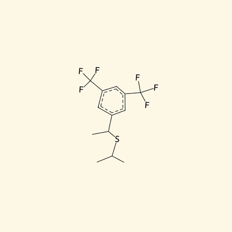 CC(C)SC(C)c1cc(C(F)(F)F)cc(C(F)(F)F)c1